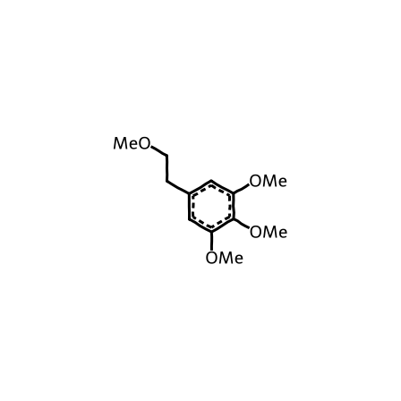 COCCc1cc(OC)c(OC)c(OC)c1